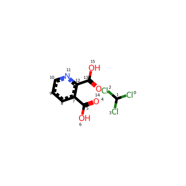 ClC(Cl)Cl.O=C(O)c1cccnc1C(=O)O